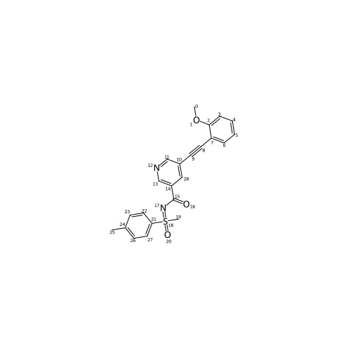 COc1ccccc1C#Cc1cncc(C(=O)N=S(C)(=O)c2ccc(C)cc2)c1